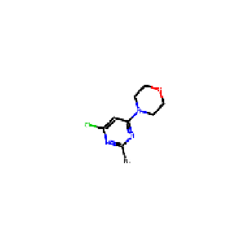 [C-]#[N+]c1nc(Cl)cc(N2CCOCC2)n1